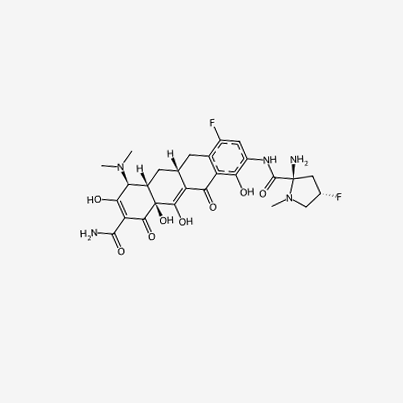 CN(C)[C@@H]1C(O)=C(C(N)=O)C(=O)[C@@]2(O)C(O)=C3C(=O)c4c(O)c(NC(=O)[C@]5(N)C[C@H](F)CN5C)cc(F)c4C[C@H]3C[C@@H]12